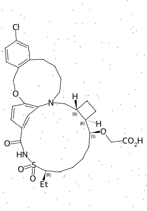 CC[C@@H]1CCCC[C@H](OCC(=O)O)[C@@H]2CC[C@H]2CN2CCCCc3cc(Cl)ccc3COc3ccc(cc32)C(=O)NS1(=O)=O